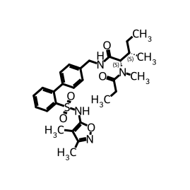 CCC(=O)N(C)[C@H](C(=O)NCc1ccc(-c2ccccc2S(=O)(=O)Nc2onc(C)c2C)cc1)[C@@H](C)CC